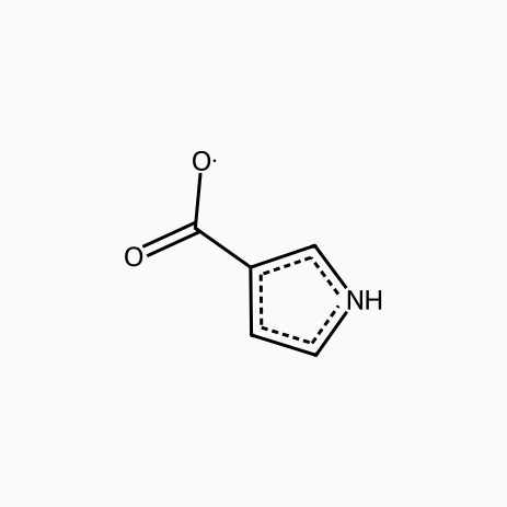 [O]C(=O)c1cc[nH]c1